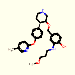 COCCCNc1cc(COC2CNCC[C@@H]2c2ccc(Oc3ccc(C)cn3)cc2)ccc1O